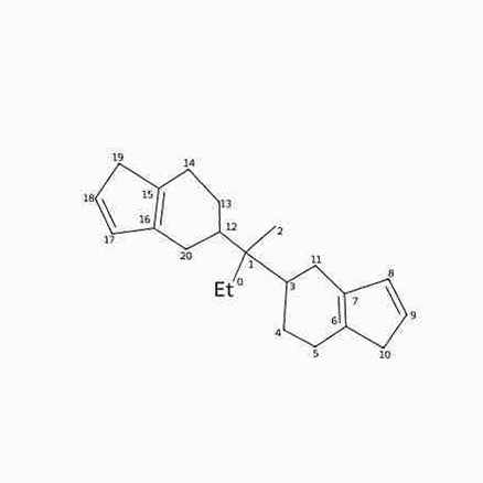 CCC(C)(C1CCC2=C(C=CC2)C1)C1CCC2=C(C=CC2)C1